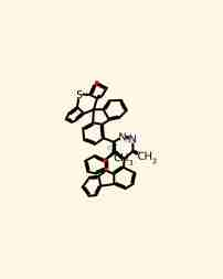 C=C(/N=N\C(=C(/C)c1ccccc1)c1cccc2c1-c1ccccc1C21c2ccccc2Sc2ccccc21)c1ccc2c3c(cccc13)-c1ccccc1-2